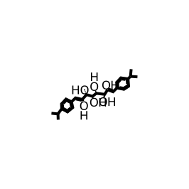 CC(C)c1ccc(C=C(O)[C@@H](O)[C@@H](O)[C@H](O)[C@@H](O)C(O)=Cc2ccc(C(C)C)cc2)cc1